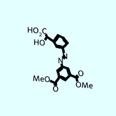 COC(=O)c1cc(N=Nc2cccc(C(O)C(=O)O)c2)cc(C(=O)OC)c1